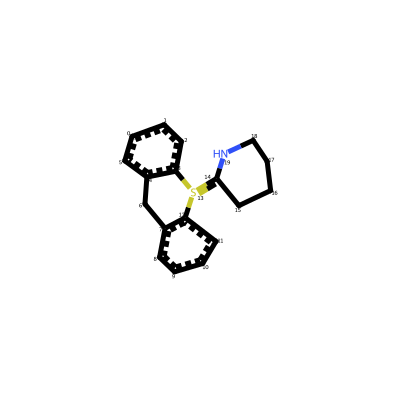 c1ccc2c(c1)Cc1ccccc1S2=C1CCCCN1